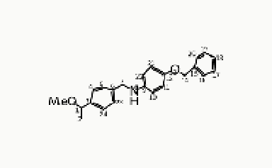 COC(C)c1ccc(CNc2ccc(OCc3ccccc3)cc2)cc1